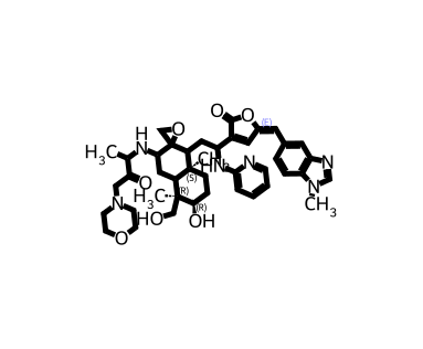 CC(NC1CC2[C@](C)(CC[C@@H](O)[C@@]2(C)CO)C(CC(Nc2ccccn2)C2=C/C(=C\c3ccc4c(c3)ncn4C)OC2=O)C12CO2)C(=O)CN1CCOCC1